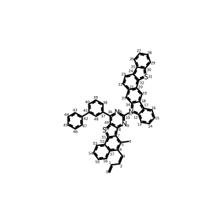 C=C/C=C\c1c(C)c2c3nc(-n4c5ccccc5c5cc6c(ccc7c8ccccc8sc67)cc54)nc(-c4cccc(-c5ccccc5)c4)c3sc2c2ccccc12